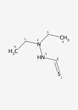 CCN(CC)N[C]=S